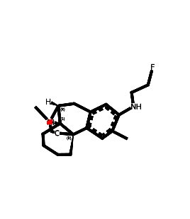 Cc1cc2c(cc1NCCF)C[C@@H]1[C@H]3CCCC[C@]23CCN1C